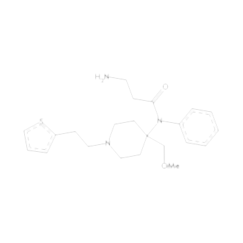 COCC1(N(C(=O)CCN)c2ccccc2)CCN(CCc2cccs2)CC1